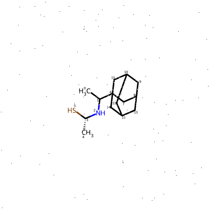 CC(N[C@H](C)S)C12CC3CC(CC(C3)C1)C2